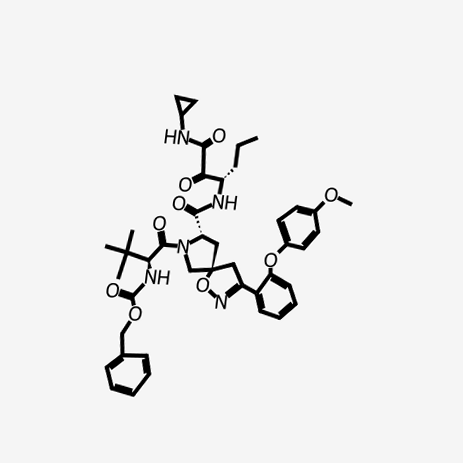 CCC[C@H](NC(=O)[C@@H]1C[C@]2(CC(c3ccccc3Oc3ccc(OC)cc3)=NO2)CN1C(=O)[C@@H](NC(=O)OCc1ccccc1)C(C)(C)C)C(=O)C(=O)NC1CC1